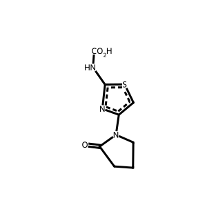 O=C(O)Nc1nc(N2CCCC2=O)cs1